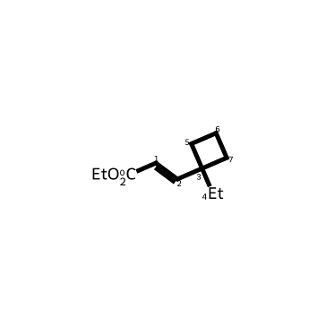 CCOC(=O)C=CC1(CC)CCC1